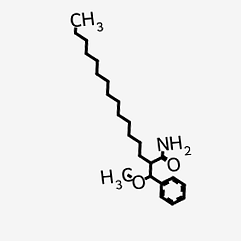 CCCCCCCCCCCCCCC(C(N)=O)C(OC)c1ccccc1